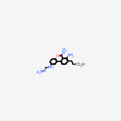 NN=CNc1cccc(-c2ccc(CCC(=O)O)c(N)c2C(N)=O)c1